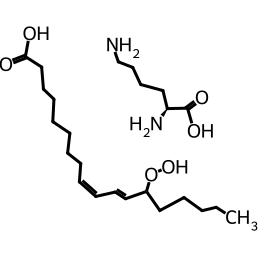 CCCCCC(/C=C/C=C\CCCCCCCC(=O)O)OO.NCCCC[C@H](N)C(=O)O